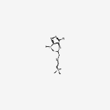 C[Si](C)(C)CCOCC1CN(I)C2=NN=C(Cl)C2=N1